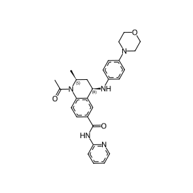 CC(=O)N1c2ccc(C(=O)Nc3ccccn3)cc2[C@H](Nc2ccc(N3CCOCC3)cc2)C[C@@H]1C